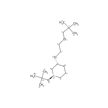 CC(C)(C)COCCO[C@@H]1CCC[C@@H](OC(C)(C)C)C1